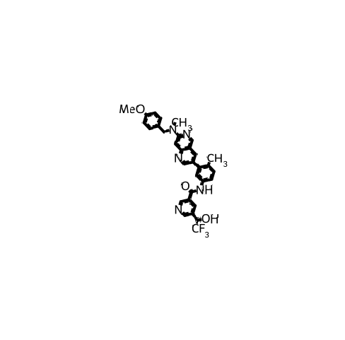 COc1ccc(CN(C)c2cc3ncc(-c4cc(NC(=O)c5cncc([C@@H](O)C(F)(F)F)c5)ccc4C)cc3cn2)cc1